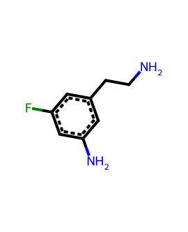 NCCc1cc(N)cc(F)c1